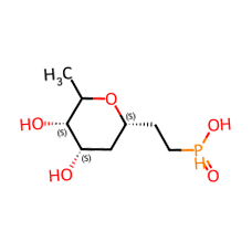 CC1O[C@H](CC[PH](=O)O)C[C@H](O)[C@@H]1O